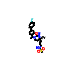 CC(c1ccc(-c2ccc(F)cc2)cc1)N1CCC(CCCNS(C)(=O)=O)(C(C)C)NC1=O